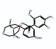 CCOc1cc(N)c(Cl)cc1C(=O)N[C@H]1C[C@H]2COC[C@@H](C1)N2Cc1ccc(OC)cc1